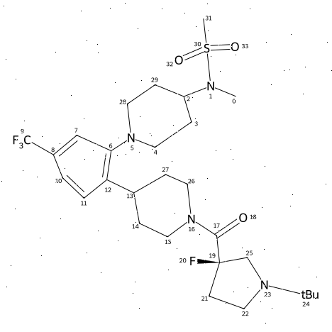 CN(C1CCN(c2cc(C(F)(F)F)ccc2C2CCN(C(=O)[C@@]3(F)CCN(C(C)(C)C)C3)CC2)CC1)S(C)(=O)=O